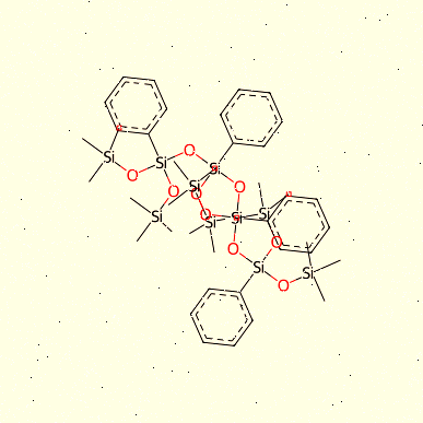 C[Si](C)(C)O[Si](O[Si](C)(C)C)(O[Si](O[Si](C)(C)C)(O[Si](O[Si](C)(C)C)(O[Si](O[Si](C)(C)C)(O[Si](C)(C)C)c1ccccc1)c1ccccc1)c1ccccc1)c1ccccc1